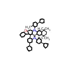 Cc1ccc(-c2ccccc2)cc1N1c2cc3c(cc2B2c4c1cc1oc5ccccc5c1c4-c1ccc(-c4ccccc4)cc1N2c1ccc(-c2ccccc2)cc1)C(C)(C)CCC3(C)C